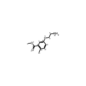 COC(=O)c1cc(OCCN)ccc1C